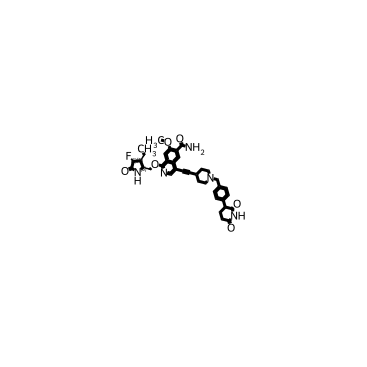 CC[C@@H]1[C@H](F)C(=O)N[C@@H]1COc1ncc(C#CC2CCN(Cc3ccc(C4CCC(=O)NC4=O)cc3)CC2)c2cc(C(N)=O)c(OC)cc12